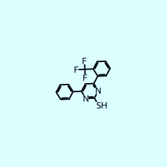 FC(F)(F)c1ccccc1-c1cc(-c2ccccc2)nc(S)n1